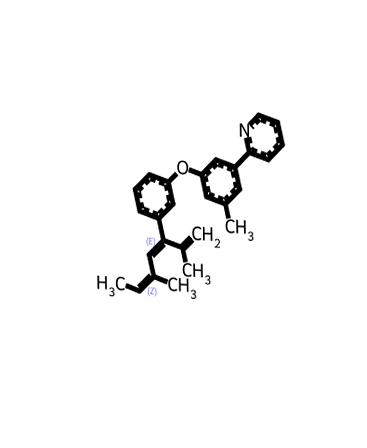 C=C(C)/C(=C\C(C)=C/C)c1cccc(Oc2cc(C)cc(-c3ccccn3)c2)c1